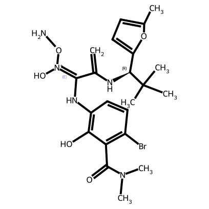 C=C(N[C@@H](c1ccc(C)o1)C(C)(C)C)/C(Nc1ccc(Br)c(C(=O)N(C)C)c1O)=[N+](/O)ON